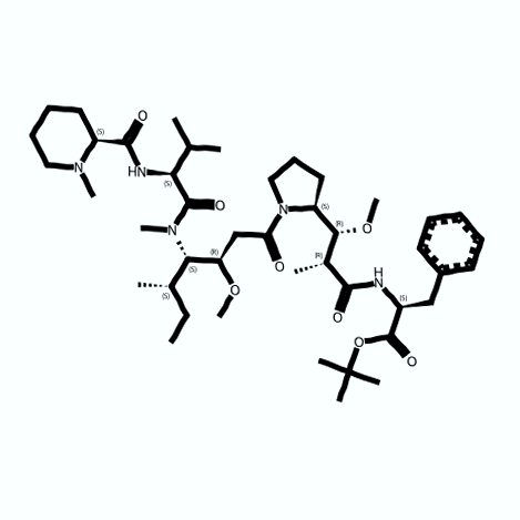 CC[C@H](C)[C@@H]([C@@H](CC(=O)N1CCC[C@H]1[C@H](OC)[C@@H](C)C(=O)N[C@@H](Cc1ccccc1)C(=O)OC(C)(C)C)OC)N(C)C(=O)[C@@H](NC(=O)[C@@H]1CCCCN1C)C(C)C